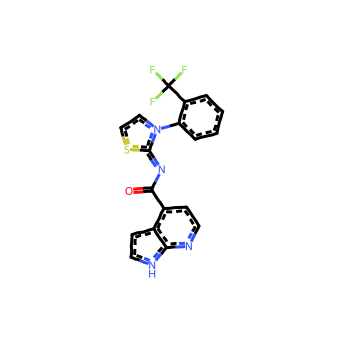 O=C(/N=c1\sccn1-c1ccccc1C(F)(F)F)c1ccnc2[nH]ccc12